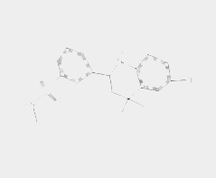 CNS(=O)(=O)c1cccc(C2CC(C)(C)c3cc(Cl)ccc3N2)c1